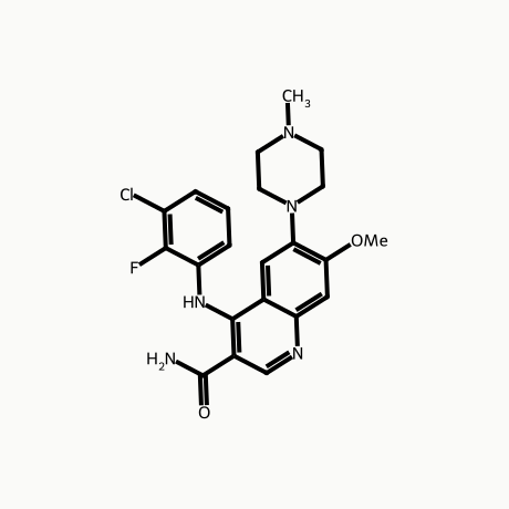 COc1cc2ncc(C(N)=O)c(Nc3cccc(Cl)c3F)c2cc1N1CCN(C)CC1